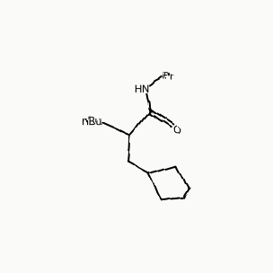 CCCCC(CC1CCCC1)C(=O)NC(C)C